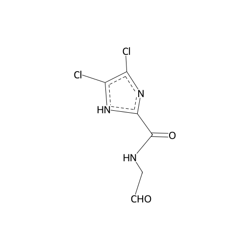 O=CCNC(=O)c1nc(Cl)c(Cl)[nH]1